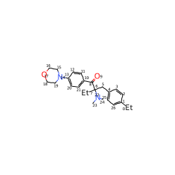 CCc1ccc(CC(CC)(C(=O)c2ccc(N3CCOCC3)cc2)N(C)C)cc1